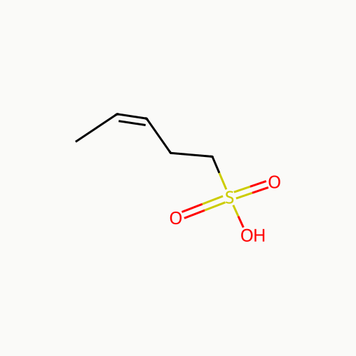 C/C=C\CCS(=O)(=O)O